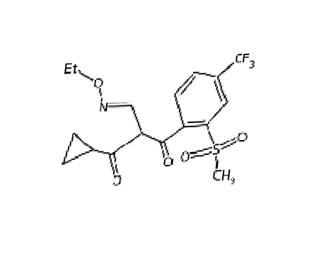 CCON=CC(C(=O)c1ccc(C(F)(F)F)cc1S(C)(=O)=O)C(=O)C1CC1